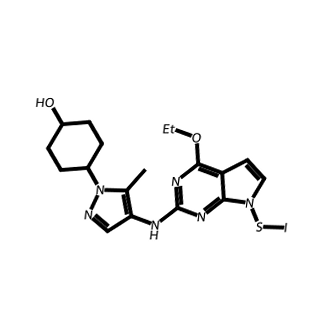 CCOc1nc(Nc2cnn(C3CCC(O)CC3)c2C)nc2c1ccn2SI